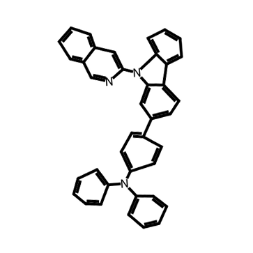 c1ccc(N(c2ccccc2)c2ccc(-c3ccc4c5ccccc5n(-c5cc6ccccc6cn5)c4c3)cc2)cc1